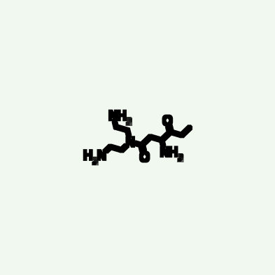 CCC(=O)C(N)CC(=O)N(CCN)CCN